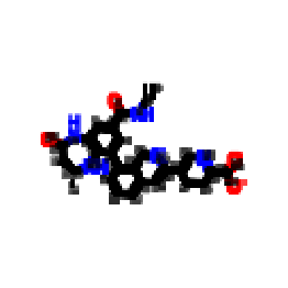 CNC(=O)c1cc2c(c(-c3cccc4cc(-c5ccc(C(=O)[O-])nc5)ncc34)c1)N[C@H](C)CC(=O)N2.[Li+]